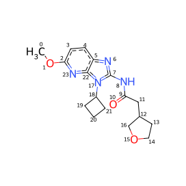 COc1ccc2nc(NC(=O)CC3CCOC3)n(C3CCC3)c2n1